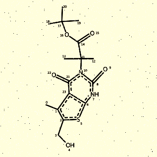 Cc1c(CO)sc2[nH]c(=O)n(C(C)(C)C(=O)OC(C)(C)C)c(=O)c12